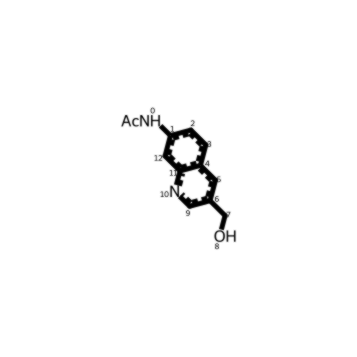 CC(=O)Nc1ccc2cc(CO)cnc2c1